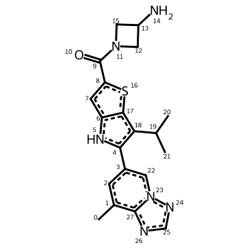 Cc1cc(-c2[nH]c3cc(C(=O)N4CC(N)C4)sc3c2C(C)C)cn2ncnc12